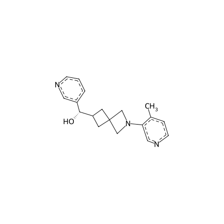 Cc1ccncc1N1CC2(CC([C@H](O)c3cccnc3)C2)C1